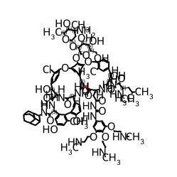 CNCCOc1cc(NC(=O)NC(=O)C[C@@H]2NC(=O)[C@H](NC(=O)[C@@H](CC(C)C)NC)[C@H](O)c3ccc(c(C)c3)Oc3cc4cc(c3O[C@@H]3O[C@H](CO)[C@@H](O)[C@H](O)[C@H]3O[C@H]3C[C@](C)(N)[C@H](O)[C@H](C)O3)Oc3ccc(cc3Cl)[C@@H](O)[C@@H]3NC(=O)[C@H](NC(=O)[C@@H]4NC2=O)c2ccc(O)c(c2)-c2c(C)cc(O)cc2[C@@H](C(=O)NC2C4CC5CC(C4)CC2C5)NC3=O)cc(OCCNC)c1OCCNC